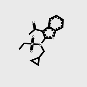 CCS(=O)(=O)N(CC1CC1)c1sc2ccccc2c1C(C)=O